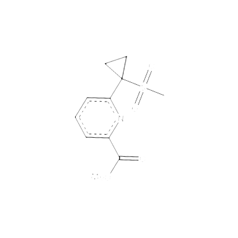 COC(=O)c1cccc(C2(S(C)(=O)=O)CC2)n1